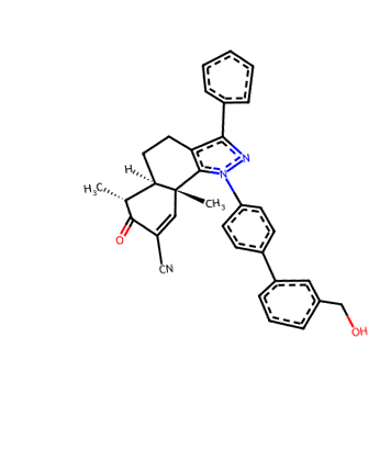 C[C@H]1C(=O)C(C#N)=C[C@@]2(C)c3c(c(-c4ccccc4)nn3-c3ccc(-c4cccc(CO)c4)cc3)CC[C@H]12